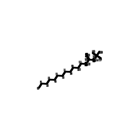 CCCCCCCCCCCCSC(=S)SC(C)(C)C